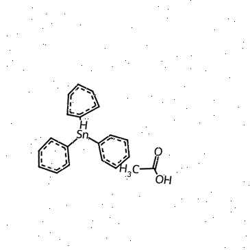 CC(=O)O.c1cc[c]([SnH]([c]2ccccc2)[c]2ccccc2)cc1